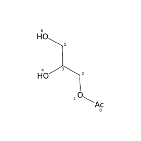 CC(=O)OCC(O)CO